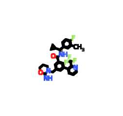 Cc1cc([C@@H](NC(=O)c2cc(CN3CCCOC3=N)cc(-c3cccnc3C(F)(F)F)c2)C2CC2)ccc1F